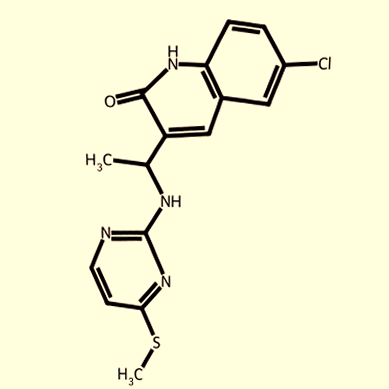 CSc1ccnc(NC(C)c2cc3cc(Cl)ccc3[nH]c2=O)n1